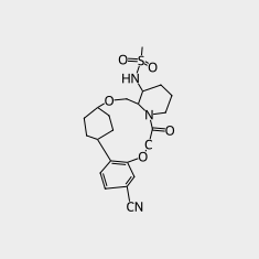 CS(=O)(=O)NC1CCCN2C(=O)COc3cc(C#N)ccc3C3CCC(CC3)OCC12